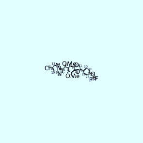 COc1cc(C(OC)c2cnc3cc(Cl)cnn23)cc2c1OC(c1ccc(OC(F)F)cc1)CO2